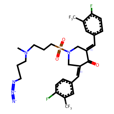 CN(CCCN=[N+]=[N-])CCCS(=O)(=O)N1C/C(=C\c2ccc(F)c(C(F)(F)F)c2)C(=O)/C(=C/c2ccc(F)c(C(F)(F)F)c2)C1